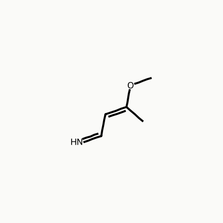 CO/C(C)=C/C=N